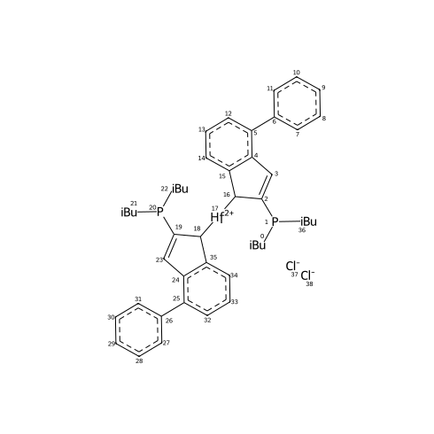 CCC(C)P(C1=Cc2c(-c3ccccc3)cccc2[CH]1[Hf+2][CH]1C(P(C(C)CC)C(C)CC)=Cc2c(-c3ccccc3)cccc21)C(C)CC.[Cl-].[Cl-]